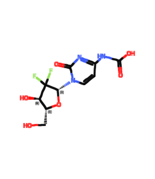 O=C(O)Nc1ccn([C@@H]2O[C@H](CO)[C@@H](O)C2(F)F)c(=O)n1